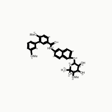 COc1cccc(-c2cc(C(=O)Nc3ccc4cc(OC5OC(C)(C)C(OC)C(O)C5O)ccc4c3)ccc2OC)c1